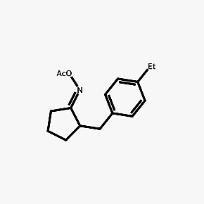 CCc1ccc(CC2CCCC2=NOC(C)=O)cc1